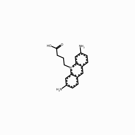 Nc1ccc2cc3ccc(N)cc3[n+](CCCC(=O)O)c2c1